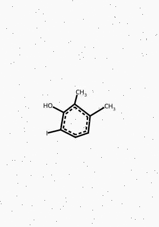 Cc1ccc(I)c(O)c1C